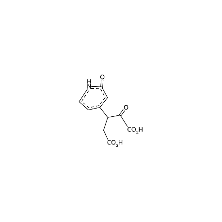 O=C(O)CC(C(=O)C(=O)O)c1cc[nH]c(=O)c1